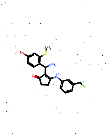 CSc1cc(Br)ccc1C(N)C1=C(Nc2cccc(CF)c2)CCC1=O